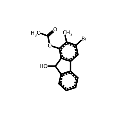 CC(=O)Oc1c(C)c(Br)cc2c1C(O)c1ccccc1-2